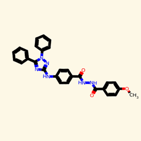 COc1ccc(C(=O)NNC(=O)c2ccc(Nc3nc(-c4ccccc4)n(-c4ccccc4)n3)cc2)cc1